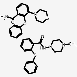 CN1CCN(NC(=O)c2ccccc2Sc2ccccc2)CC1.NC(=O)c1cccc(N2CCSCC2)c1Sc1ccccc1